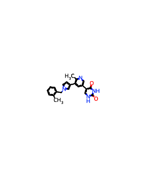 Cc1ccccc1Cn1ccc(-c2cc(-c3c[nH]c(=O)[nH]c3=O)cnc2C)c1